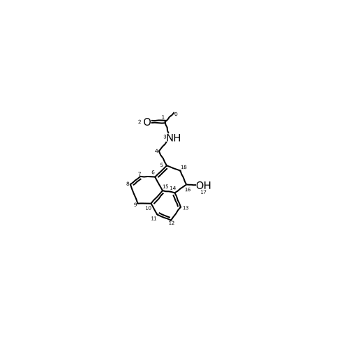 CC(=O)NCC1=C2C=CCc3cccc(c32)C(O)C1